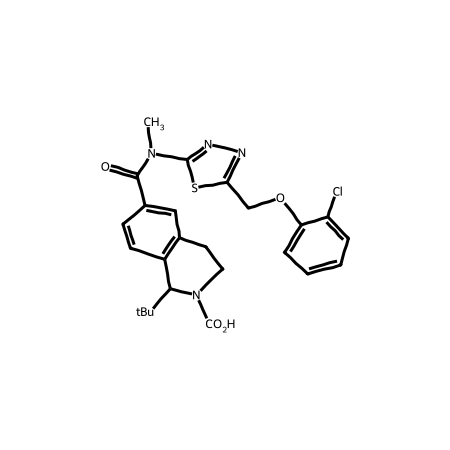 CN(C(=O)c1ccc2c(c1)CCN(C(=O)O)C2C(C)(C)C)c1nnc(COc2ccccc2Cl)s1